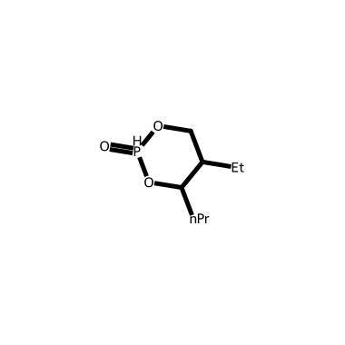 CCCC1O[PH](=O)OCC1CC